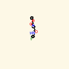 O=C(CCC1CCN(C(=O)CCOc2ccccc2)CC1)NCc1ccc(F)cc1